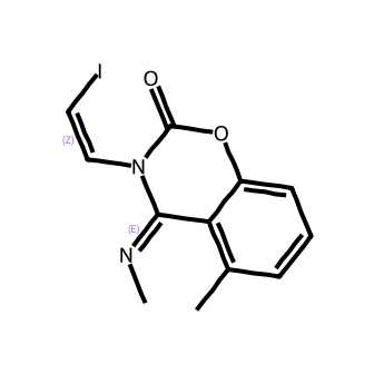 C/N=c1\c2c(C)cccc2oc(=O)n1/C=C\I